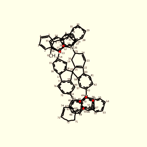 CC12C=CC=CC1c1ccccc1N2c1ccc2c(c1)C1(C3=C(C=CC(n4c5ccccc5c5ccccc54)C3)c3ccc(-n4c5ccccc5c5ccccc54)cc31)c1cc(-n3c4c(c5ccccc53)CCC=C4)ccc1-2